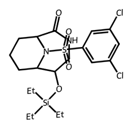 CC[Si](CC)(CC)OC1CNC(=O)C2CCCC1N2S(=O)(=O)c1cc(Cl)cc(Cl)c1